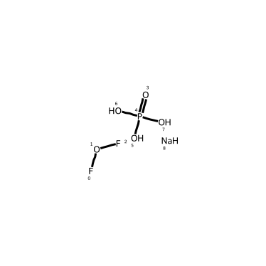 FOF.O=P(O)(O)O.[NaH]